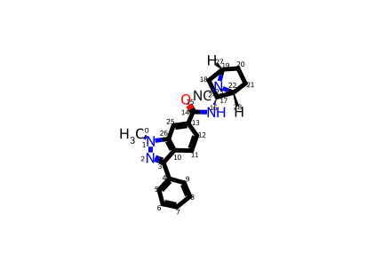 Cn1nc(-c2ccccc2)c2ccc(C(=O)N[C@@H]3C[C@@H]4CC[C@H]3N4C#N)cc21